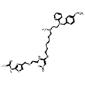 COc1ccc(CN(CCN(C)CCCCCCN/C(=C/[N+](=O)[O-])NCCSCc2csc(NC(=N)N)n2)c2ccccn2)cc1